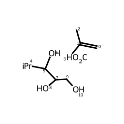 C=C(C)C(=O)O.CC(C)C(O)C(O)CO